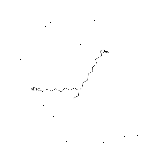 CCCCCCCCCCCCCCCCCCC[C@H](CI)CCCCCCCCCCCCCCCCCC